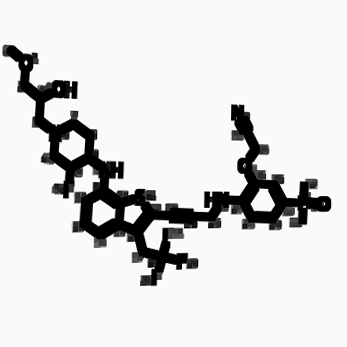 COCC(O)CN1CCC(Nc2cccc3c(CC(F)(F)F)c(C#CCNc4ccc(P(C)(C)=O)cc4OCC#N)sc23)C(F)C1